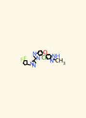 Cc1nc2ccc(Oc3ccc4ncc(-c5cnn(CC6CCC(F)(F)C6)c5)nc4c3Cl)cc2[nH]1